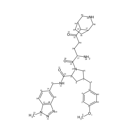 COc1ccc(CC2CC(C(=O)NCc3ccc4c(c3)nnn4C)N(C(=O)C(N)CCC(=O)C3C4CCC3CNC4)C2)cc1